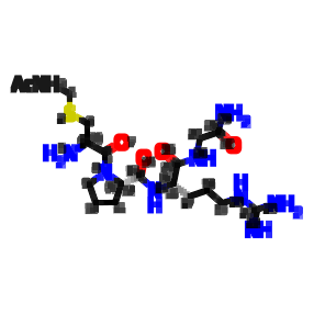 CC(=O)NCSC[C@H](N)C(=O)N1CCC[C@H]1C(=O)N[C@@H](CCCNC(=N)N)C(=O)NCC(N)=O